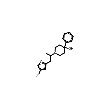 CC(Cc1cc(Br)no1)N1CCC(O)(c2ccccc2)CC1